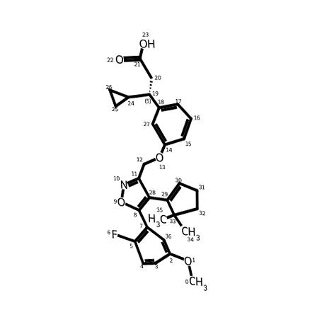 COc1ccc(F)c(-c2onc(COc3cccc([C@@H](CC(=O)O)C4CC4)c3)c2C2=CCCC2(C)C)c1